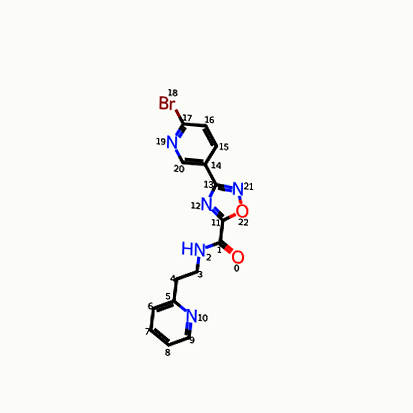 O=C(NCCc1ccccn1)c1nc(-c2ccc(Br)nc2)no1